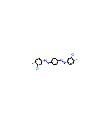 Cc1ccc(N=Nc2ccc(N=Nc3ccc(C)c(Cl)c3)cc2)cc1Cl